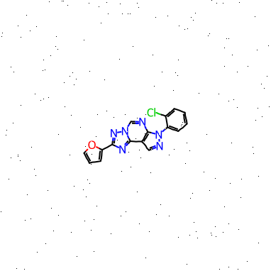 Clc1ccccc1-n1ncc2c1ncn1nc(-c3ccco3)nc21